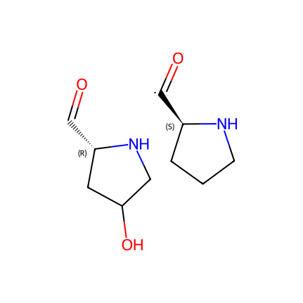 O=C[C@H]1CC(O)CN1.O=[C][C@@H]1CCCN1